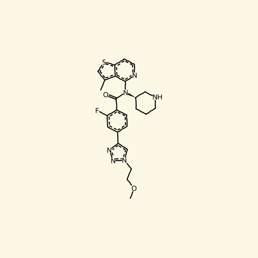 COCCn1cc(-c2ccc(C(=O)N(c3nccc4scc(C)c34)[C@@H]3CCCNC3)c(F)c2)nn1